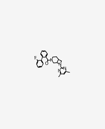 Cc1cc(C)nc(N2CC3CCN(C(=O)c4ccccc4-c4ccccc4F)CC32)n1